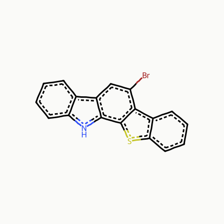 Brc1cc2c3ccccc3[nH]c2c2sc3ccccc3c12